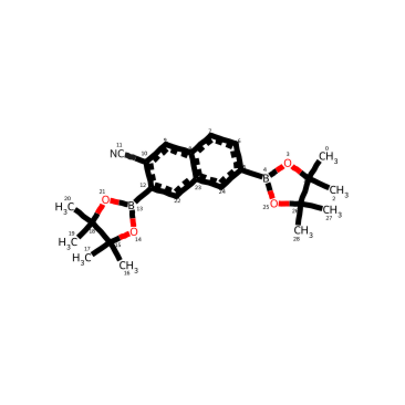 CC1(C)OB(c2ccc3cc(C#N)c(B4OC(C)(C)C(C)(C)O4)cc3c2)OC1(C)C